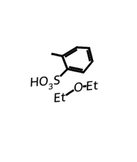 CCOCC.Cc1ccccc1S(=O)(=O)O